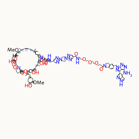 CO[C@H]1C[C@@H]2CC[C@@H](C)[C@@](O)(O2)C(=O)C(=O)N2CCCC[C@H]2C(=O)O[C@H]([C@H](C)C[C@@H]2CC[C@@H](O)[C@H](OC)C2)C[C@@H](O)[C@H](C)/C=C(\C)[C@@H](O)[C@@H](OC)C(=NOCC(=O)NCc2cnc(N3CCN(c4ncc(C(=O)NCCOCCOCCOCCC(=O)N5CCc6cc(Cn7nc(-c8cnc9[nH]ccc9c8)c8c(N)ncnc87)ccc6C5)cn4)CC3)nc2)[C@H](C)C[C@H](C)/C=C/C=C/C=C/1C